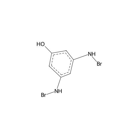 Oc1cc(NBr)cc(NBr)c1